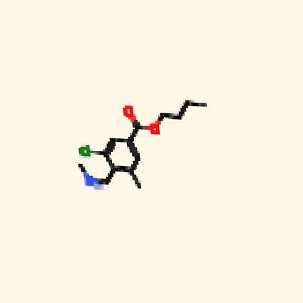 CCCCOC(=O)c1cc(C)c(/C=N\C)c(Cl)c1